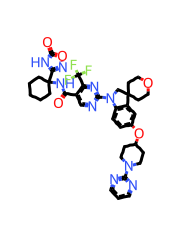 O=C(NC1(c2noc(=O)[nH]2)CCCCC1)c1cnc(N2CC3(CCOCC3)c3cc(OC4CCN(c5ncccn5)CC4)ccc32)nc1C(F)(F)F